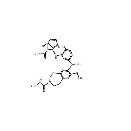 CNC(=O)N1CCc2cc(OC)c(N(C)c3ncc(Cl)c(N[C@H]4[C@@H](C(N)=O)[C@@H]5C=C[C@H]4C5)n3)cc2CC1